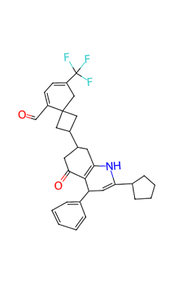 O=CC1=CC=C(C(F)(F)F)CC12CC(C1CC(=O)C3=C(C1)NC(C1CCCC1)=CC3c1ccccc1)C2